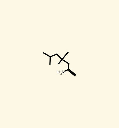 C=C(N)CC(C)(C)CC(C)C